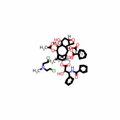 CC(=O)O[C@H]1C(=O)[C@@]2(C)[C@H]([C@H](OC(=O)c3ccccc3)[C@]3(O)C[C@H](OC(=O)[C@H](O)[C@@H](NC(=O)c4ccccc4)c4ccccc4)C(C)=C1C3(C)C)[C@]1(OC(C)=O)CO[C@@H]1C[C@@H]2O.CN(CCCl)CCCl